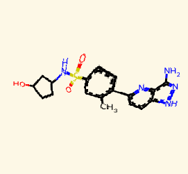 Cc1cc(S(=O)(=O)NC2CCC(O)C2)ccc1-c1ccc2[nH]nc(N)c2n1